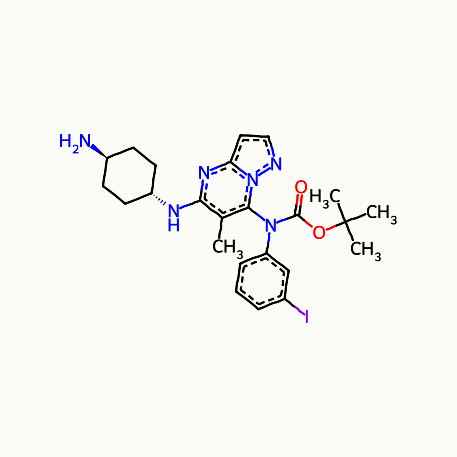 Cc1c(N[C@H]2CC[C@H](N)CC2)nc2ccnn2c1N(C(=O)OC(C)(C)C)c1cccc(I)c1